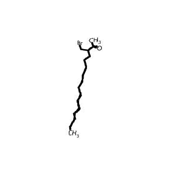 CCCCCCCCCCCCCC(CBr)C(C)=O